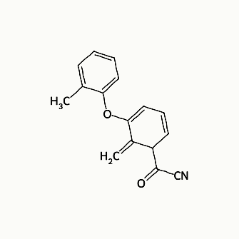 C=C1C(Oc2ccccc2C)=CC=CC1C(=O)C#N